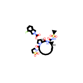 O=C1N[C@]2(C(=O)NS(=O)(=O)C3CC3)C[C@H]2/C=C\CCCCC[C@H](N2CCCS2(=O)=O)C(=O)N2C[C@H](OC(=O)N3Cc4cccc(F)c4C3)C[C@@H]12